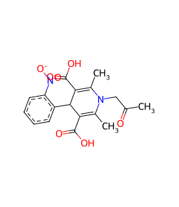 CC(=O)CN1C(C)=C(C(=O)O)C(c2ccccc2[N+](=O)[O-])C(C(=O)O)=C1C